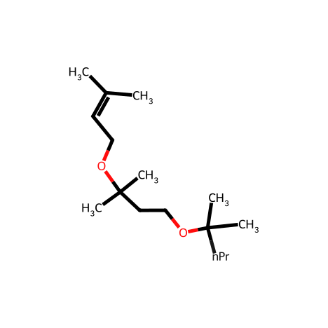 CCCC(C)(C)OCCC(C)(C)OCC=C(C)C